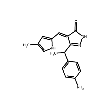 Cc1c[nH]c(/C=C2/C(=O)NN=C2C(C)c2ccc(N)cc2)c1